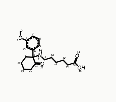 COc1cccc(C2(NCCCCCC(=O)O)CCCCC2=O)c1